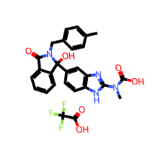 Cc1ccc(CN2C(=O)c3ccccc3C2(O)c2ccc3[nH]c(N(C)C(=O)O)nc3c2)cc1.O=C(O)C(F)(F)F